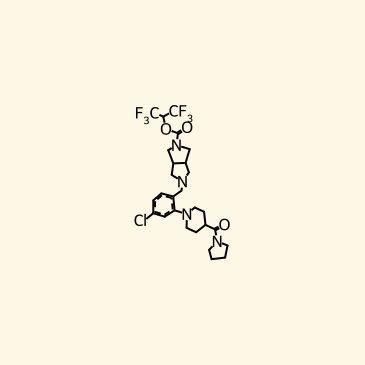 O=C(OC(C(F)(F)F)C(F)(F)F)N1CC2CN(Cc3ccc(Cl)cc3N3CCC(C(=O)N4CCCC4)CC3)CC2C1